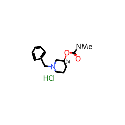 CNC(=O)O[C@H]1CCCN(Cc2ccccc2)C1.Cl